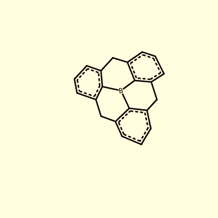 c1cc2c3c(c1)Cc1cccc4c1B3c1c(cccc1C4)C2